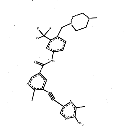 Cc1ncc(C(=O)Nc2ccc(CN3CCN(C)CC3)c(C(F)(F)F)c2)cc1C#Cc1cnc(N)c(C)n1